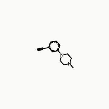 [C]#Cc1cccc(N2CCN(C)CC2)c1